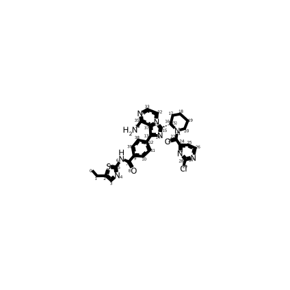 CCc1cnc(NC(=O)c2ccc(-c3nc([C@@H]4CCCCN4C(=O)c4ccnc(Cl)n4)n4ccnc(N)c34)cc2)s1